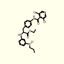 CCC[S+]([O-])c1cccc(NC(Cc2ccc(NC(=O)c3c(Cl)cncc3Cl)cc2)C(=O)OCC)c1